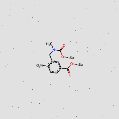 CN(Cc1cc(C(=O)OC(C)(C)C)ccc1[N+](=O)[O-])C(=O)OC(C)(C)C